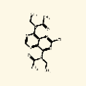 CCN(C(C)=O)c1nc(Cl)nc2c(N(CC)C(C)=O)ncnc12